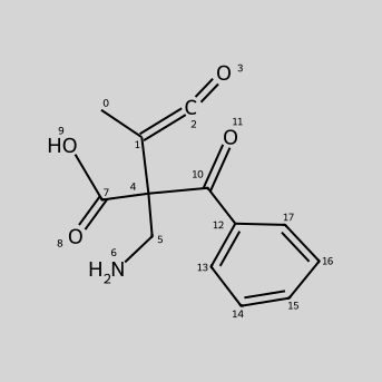 CC(=C=O)C(CN)(C(=O)O)C(=O)c1ccccc1